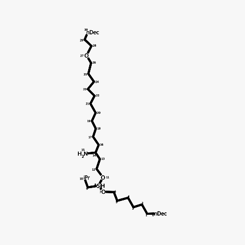 CCCCCCCCCCCCCCCCO[SiH](CC(C)C)OCCC(N)CCCCCCCCCCCOCCCCCCCCCCCC